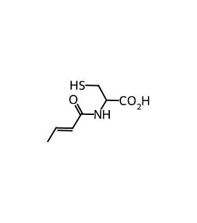 CC=CC(=O)NC(CS)C(=O)O